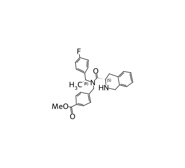 COC(=O)c1ccc(CN(C(=O)[C@@H]2Cc3ccccc3CN2)[C@H](C)c2ccc(F)cc2)cc1